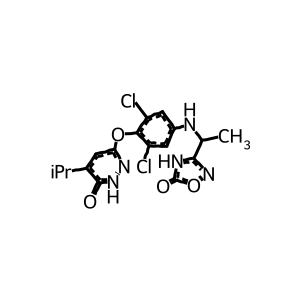 CC(C)c1cc(Oc2c(Cl)cc(NC(C)c3noc(=O)[nH]3)cc2Cl)n[nH]c1=O